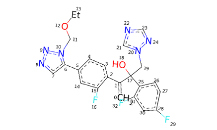 C=C(c1ccc(-c2cnnn2COCC)cc1F)C(O)(Cn1cncn1)c1ccc(F)cc1F